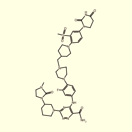 CN1CCN(C2CCCN(c3nnc(C(N)=O)c(Nc4ccc(N5CCN(CC6CCN(c7ccc(N8CCC(=O)NC8=O)cc7S(C)(=O)=O)CC6)CC5)c(F)c4)n3)C2)C1=O